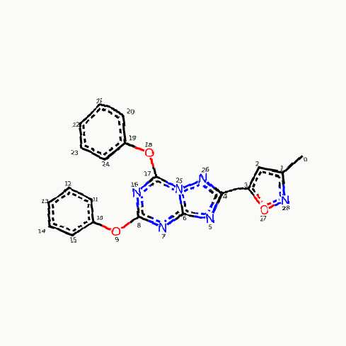 Cc1cc(-c2nc3nc(Oc4ccccc4)nc(Oc4ccccc4)n3n2)on1